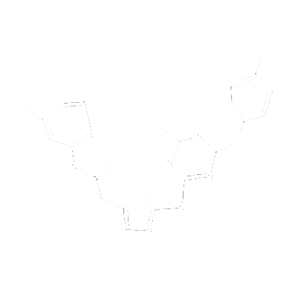 Cc1ccc(Sc2nc(C)nc(Nc3ncc(CC(=O)Nc4cccc(F)c4)s3)n2)cc1